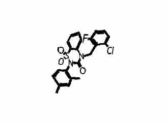 Cc1ccc(N2C(=O)N(Cc3c(F)cccc3Cl)c3ccccc3S2(=O)=O)c(C)c1